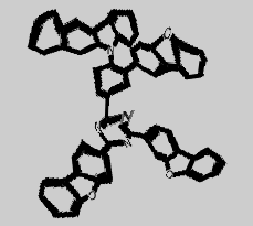 c1ccc2cc3c(cc2c1)c1ccccc1n3-c1ccc(-c2nc(-c3ccc4c(c3)oc3ccccc34)nc(-c3ccc4c(c3)oc3ccccc34)n2)cc1-c1ccc2oc3ccccc3c2c1